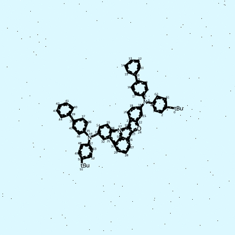 CC(C)(C)c1ccc(N(c2ccc(-c3ccccc3)cc2)c2ccc3c(c2)oc2c4cccc5c6cc(N(c7ccc(-c8ccccc8)cc7)c7ccc(C(C)(C)C)cc7)ccc6n(c54)c32)cc1